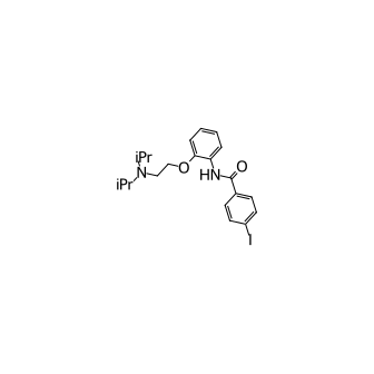 CC(C)N(CCOc1ccccc1NC(=O)c1ccc(I)cc1)C(C)C